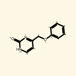 O=c1nc(COc2ccccc2)cc[nH]1